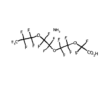 N.O=C(O)C(F)(F)OC(F)(F)C(F)(F)OC(F)(F)C(F)(F)OC(F)(F)C(F)(F)C(F)(F)F